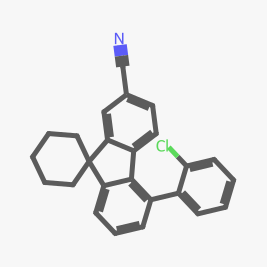 N#Cc1ccc2c(c1)C1(CCCCC1)c1cccc(-c3ccccc3Cl)c1-2